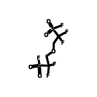 O=S(=O)(F)C(F)(F)COCC(F)(F)S(=O)(=O)F